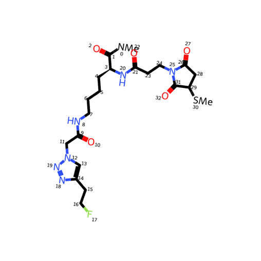 CNC(=O)[C@H](CCCCNC(=O)Cn1cc(CCF)nn1)NC(=O)CCN1C(=O)CC(SC)C1=O